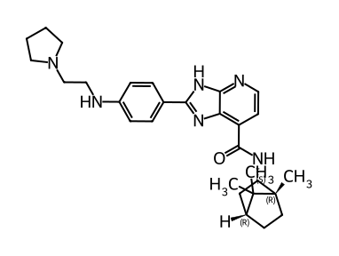 CC1(C)[C@@H]2CC[C@@]1(C)[C@@H](NC(=O)c1ccnc3[nH]c(-c4ccc(NCCN5CCCC5)cc4)nc13)C2